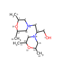 CC1CN(CC(CO)N2CC(C)OC(C)C2)CC(C)O1